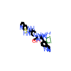 Cn1cc2c(Cl)c(-c3n[nH]c4nc(N5CCC(C)(C(=N)NC6Cc7cccnc7CS6)CC5)c(CO)nc34)ccc2n1